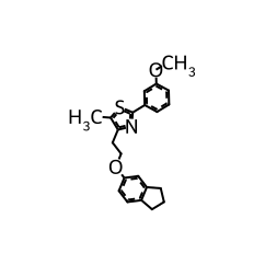 COc1cccc(-c2nc(CCOc3ccc4c(c3)CCC4)c(C)s2)c1